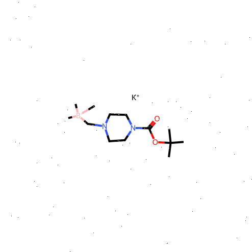 C[B-](C)(C)CN1CCN(C(=O)OC(C)(C)C)CC1.[K+]